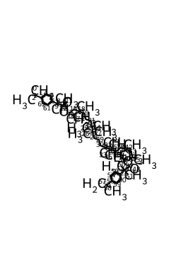 C=C(C)c1ccc(C(C)(C)C(=O)OC(C)CC(C)(C)CCCC(C)(C)C(C)(C)CCCC(C)(C)C(C)(C)C(CC)CC(C)(C)CC(C)OC(=O)C(C)(C)c2ccc(C(=C)C)cc2)cc1